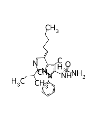 C=C(/N=C\C(=C/CCCC)c1nn(-c2ccccc2)c(NC(N)=O)c1C)C(C)CC